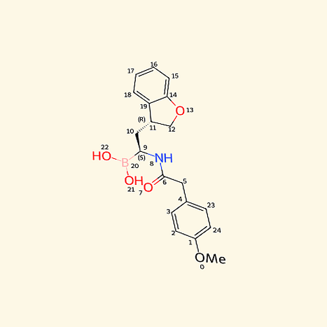 COc1ccc(CC(=O)N[C@H](C[C@H]2COc3ccccc32)B(O)O)cc1